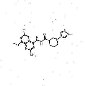 COc1cc(Cl)cc2c(NNC(=O)[C@@H]3CCCN(c4cnn(C)c4)C3)nc(N)nc12